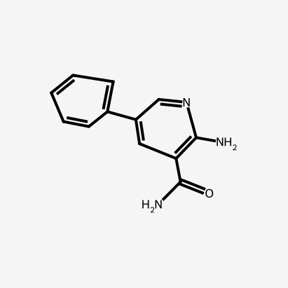 NC(=O)c1cc(-c2ccccc2)cnc1N